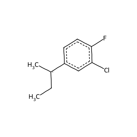 CC[C](C)c1ccc(F)c(Cl)c1